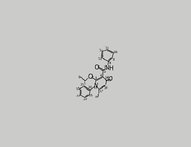 CCOc1c(C(=O)Nc2ccccc2)c(=O)cc(C)n1-c1ccccc1